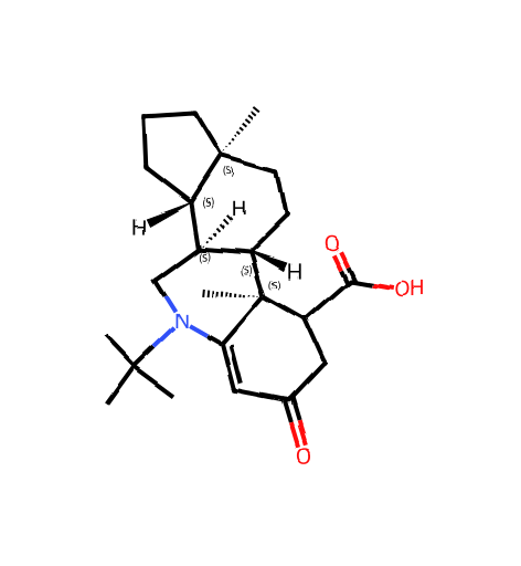 CC(C)(C)N1C[C@H]2[C@@H]3CCC[C@@]3(C)CC[C@@H]2[C@]2(C)C1=CC(=O)CC2C(=O)O